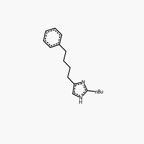 [CH2]CCCc1nc(CCCCc2ccccc2)c[nH]1